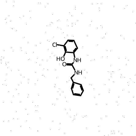 O=C(NCc1ccccc1)Nc1cccc(Cl)c1O